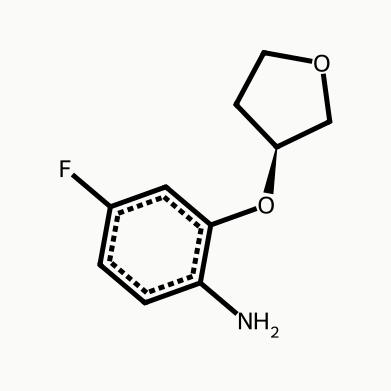 Nc1ccc(F)cc1O[C@H]1CCOC1